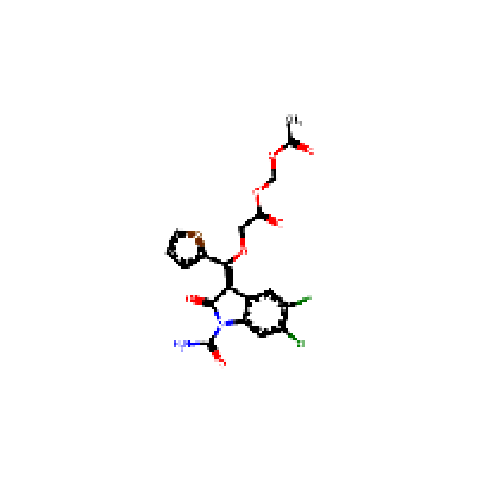 CC(=O)OCOC(=O)COC(=C1C(=O)N(C(N)=O)c2cc(Cl)c(F)cc21)c1cccs1